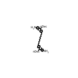 CCCCCCCCCCCC(c1ccc(CCCCCCCCCCc2ccc(C(CCCCCCCCCCC)c3ccc(N)cc3C)cc2)cc1)c1ccc(N)cc1C